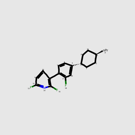 CCC[C@H]1CC[C@H](c2ccc(-c3ccc(F)nc3F)c(F)c2)CC1